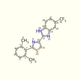 Cc1cccc(C)c1-c1nc(-c2nc3cc(C(F)(F)F)ccc3[nH]2)cs1